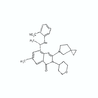 Cc1cc(C(C)Nc2ccccc2C(=O)O)c2nc(N3CCC4(CC4)C3)n(C3CCOCC3)c(=O)c2c1